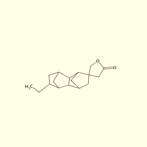 CCC1CC2CC1C1C3CC(C21)C1(COC(=O)C1)C3